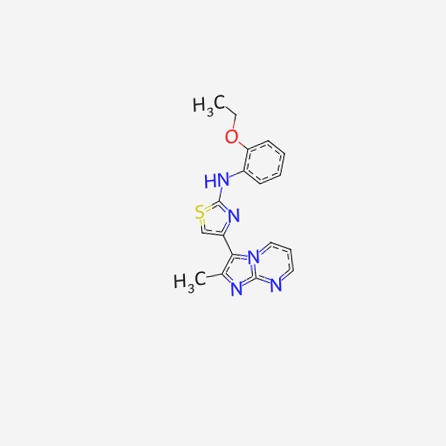 CCOc1ccccc1Nc1nc(-c2c(C)nc3ncccn23)cs1